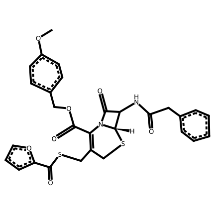 COc1ccc(COC(=O)C2=C(CSC(=O)c3ccco3)CS[C@H]3C(NC(=O)Cc4ccccc4)C(=O)N23)cc1